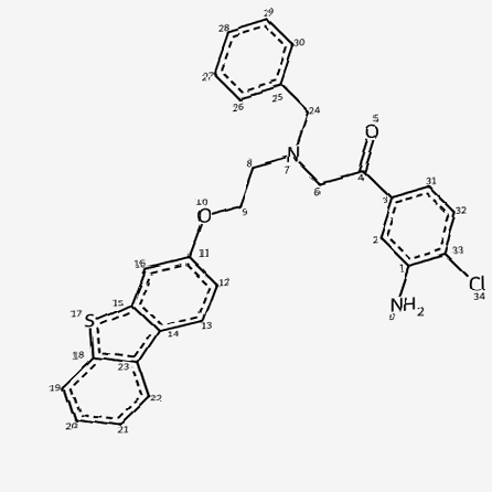 Nc1cc(C(=O)CN(CCOc2ccc3c(c2)sc2ccccc23)Cc2ccccc2)ccc1Cl